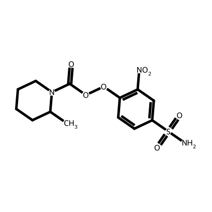 CC1CCCCN1C(=O)OOc1ccc(S(N)(=O)=O)cc1[N+](=O)[O-]